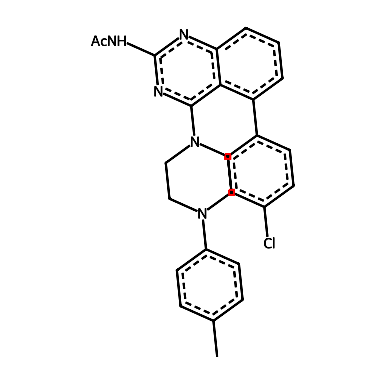 CC(=O)Nc1nc(N2CCN(c3ccc(C)cc3)CC2)c2c(-c3ccc(Cl)cc3)cccc2n1